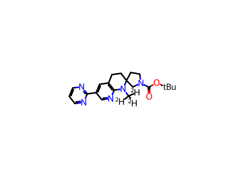 [2H]C([2H])([2H])N1c2ncc(-c3ncccn3)cc2CCC12CCN(C(=O)OC(C)(C)C)C2